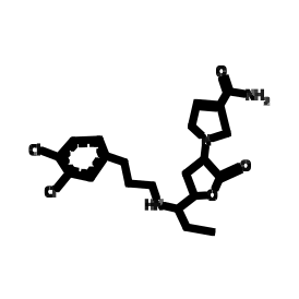 CCC(NCCCc1ccc(Cl)c(Cl)c1)C1CC(N2CC=C(C(N)=O)C2)C(=O)O1